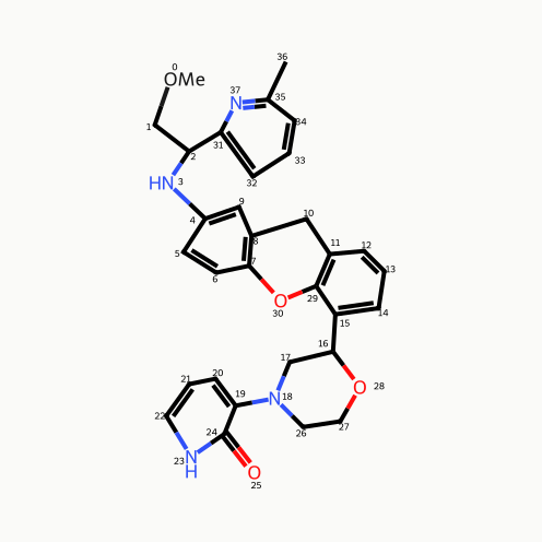 COCC(Nc1ccc2c(c1)Cc1cccc(C3CN(c4ccc[nH]c4=O)CCO3)c1O2)c1cccc(C)n1